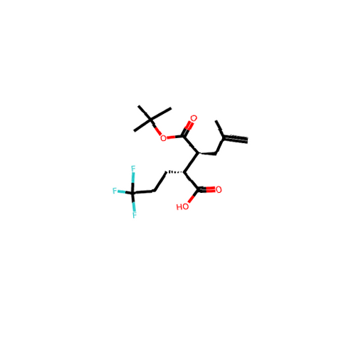 C=C(C)C[C@H](C(=O)OC(C)(C)C)[C@@H](CCC(F)(F)F)C(=O)O